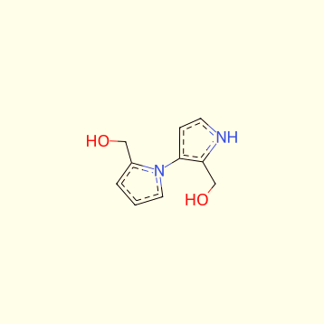 OCc1[nH]ccc1-n1cccc1CO